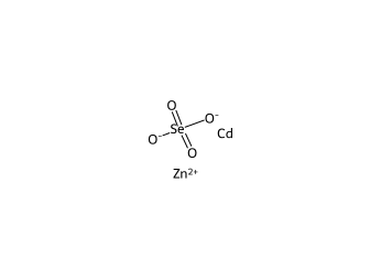 O=[Se](=O)([O-])[O-].[Cd].[Zn+2]